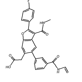 C=CNC(=O)c1cccc(-c2cc3c(C(=O)NC)c(-c4ccc(F)cc4)oc3cc2CC(=O)O)c1